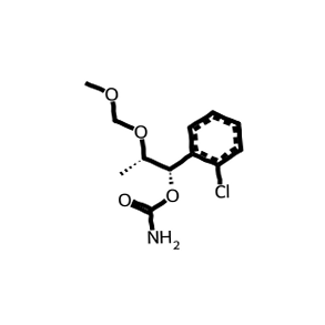 COCO[C@@H](C)[C@@H](OC(N)=O)c1ccccc1Cl